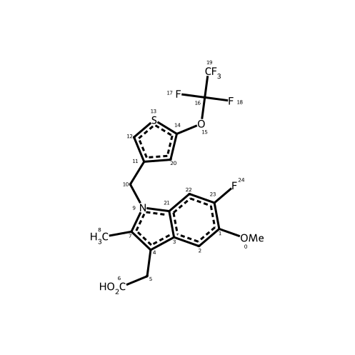 COc1cc2c(CC(=O)O)c(C)n(Cc3csc(OC(F)(F)C(F)(F)F)c3)c2cc1F